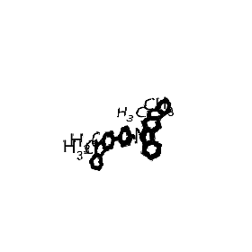 CC1(C)c2ccccc2-c2cc(-c3ccc(-n4c5ccccc5c5cc6c(cc54)C(C)(C)c4ccccc4-6)cc3)ccc21